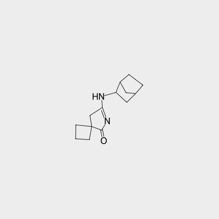 O=C1N=C(NC2CC3CCC2C3)CC12CCC2